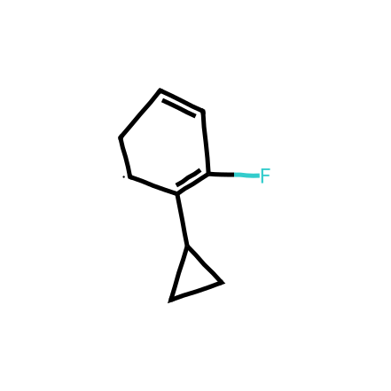 FC1=C(C2CC2)[CH]CC=C1